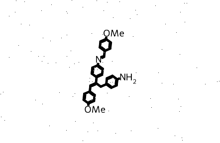 COc1ccc(C=Nc2ccc(C(=Cc3ccc(OC)cc3)Cc3ccc(N)cc3)cc2)cc1